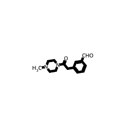 CN1CCN(C(=O)Cc2cccc(C=O)c2)CC1